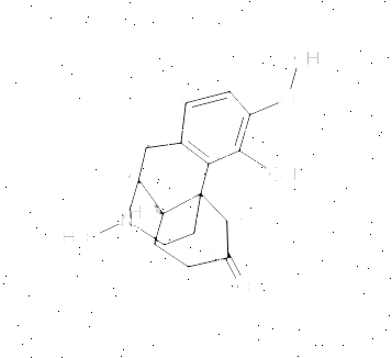 COc1ccc2c(c1O)C13CCN(C)C(C2)C1(O)CCC(=O)C3